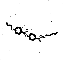 CCCCCCOC(C)c1ccc(OC(=O)c2ccc(OCCC)cc2)cc1